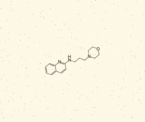 c1ccc2nc(NCCCN3CCOCC3)ccc2c1